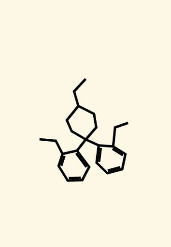 CCc1ccccc1C1(c2ccccc2CC)CCC(CC)CC1